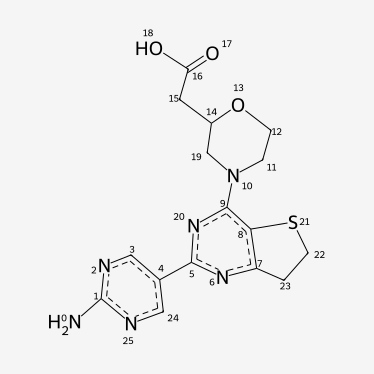 Nc1ncc(-c2nc3c(c(N4CCOC(CC(=O)O)C4)n2)SCC3)cn1